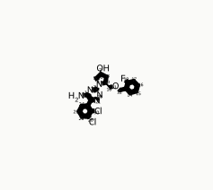 Nc1nc(N2C[C@H](O)C[C@H]2COCc2ccccc2F)nnc1-c1cccc(Cl)c1Cl